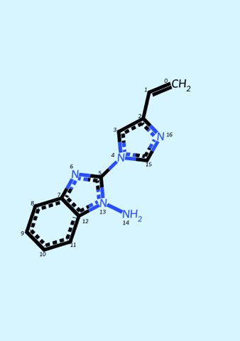 C=Cc1cn(-c2nc3ccccc3n2N)cn1